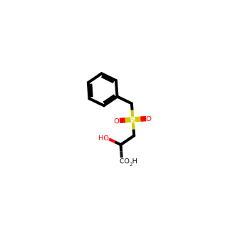 O=C(O)C(O)CS(=O)(=O)Cc1ccccc1